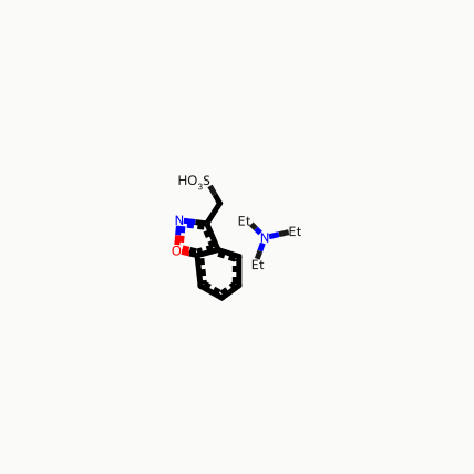 CCN(CC)CC.O=S(=O)(O)Cc1noc2ccccc12